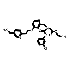 CCOC(=O)CN(Cc1cccc(OCCc2ccc(CC)cn2)c1)C(=O)Oc1cccc(Cl)c1